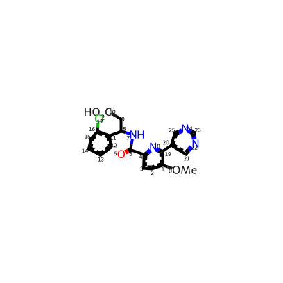 COc1ccc(C(=O)NC(CC(=O)O)c2ccccc2Cl)nc1-c1cncnc1